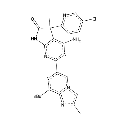 CCCCc1nc(-c2nc(N)c3c(n2)NC(=O)C3(C)c2ccc(Cl)cn2)cn2cc(C)nc12